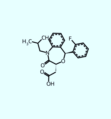 CC(C)CN1C(=O)[C@@H](CC(=O)O)O[C@H](c2ccccc2F)c2ccccc21